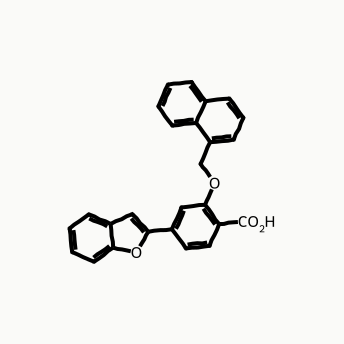 O=C(O)c1ccc(-c2cc3ccccc3o2)cc1OCc1cccc2ccccc12